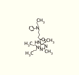 CCCN(CCCCC(=O)Nc1c(SC)nc(C)nc1N(CCC)CCC)c1ccccc1